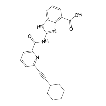 O=C(Nc1nc2c(C(=O)O)cccc2[nH]1)c1cccc(C#CC2CCCCC2)n1